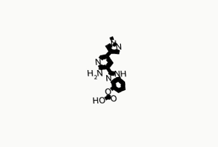 Cn1cc(-c2cnc(N)c(-c3nc4c(OC(=O)O)cccc4[nH]3)c2)cn1